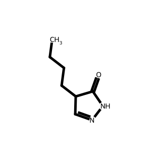 CCCCC1C=NNC1=O